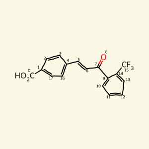 O=C(O)c1ccc(/C=C/C(=O)c2ccccc2C(F)(F)F)cc1